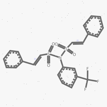 O=S(=O)(/C=C/c1ccccc1)N(c1cccc(C(F)(F)F)c1)S(=O)(=O)/C=C/c1ccccc1